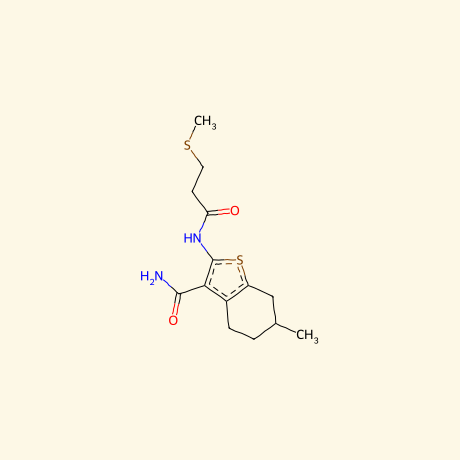 CSCCC(=O)Nc1sc2c(c1C(N)=O)CCC(C)C2